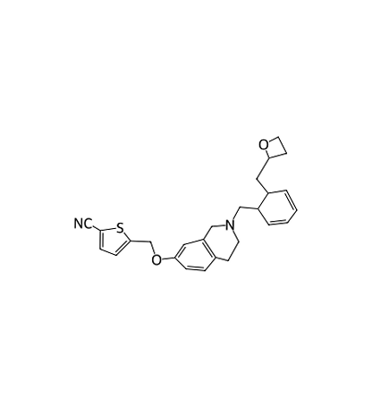 N#Cc1ccc(COc2ccc3c(c2)CN(CC2C=CC=CC2CC2CCO2)CC3)s1